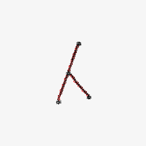 c1ccc(COCCOCCOCCOCCOCCOCCOCCOCCOCc2cc(COCCOCCOCCOCCOCCOCCOCCOCCOCc3ccccc3)cc(COCCOCCOCCOCCOCCOCCOCCOCCOCc3ccccc3)c2)cc1